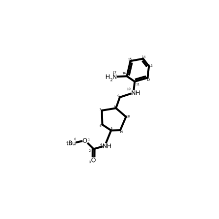 CC(C)(C)OC(=O)NC1CCC(CNc2ccccc2N)CC1